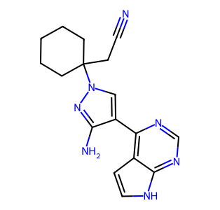 N#CCC1(n2cc(-c3ncnc4[nH]ccc34)c(N)n2)CCCCC1